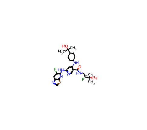 CC(C)(O)C1CCC(Nc2cc(Nc3nc4scnc4cc3F)ncc2C(=O)NC[C@@H](F)C(C)(C)O)CC1